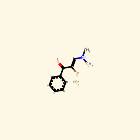 Br.CN(C)/C=C(\Br)C(=O)c1ccccc1